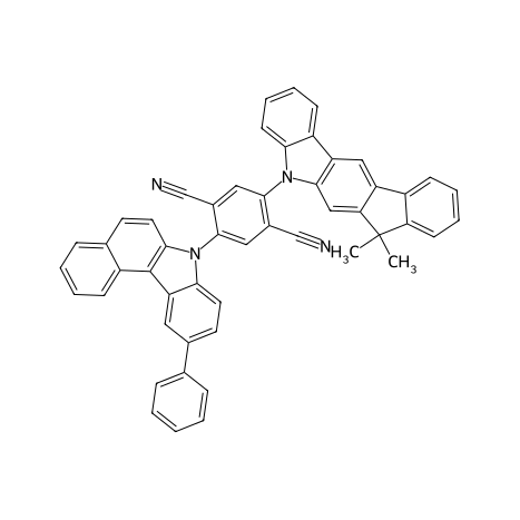 CC1(C)c2ccccc2-c2cc3c4ccccc4n(-c4cc(C#N)c(-n5c6ccc(-c7ccccc7)cc6c6c7ccccc7ccc65)cc4C#N)c3cc21